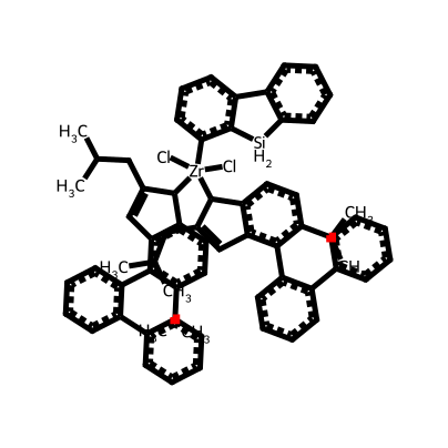 CC(C)CC1=Cc2c(ccc(C(C)C)c2-c2ccccc2-c2ccccc2)[CH]1[Zr]([Cl])([Cl])([c]1cccc2c1[SiH2]c1ccccc1-2)[CH]1C(CC(C)C)=Cc2c1ccc(C(C)C)c2-c1ccccc1-c1ccccc1